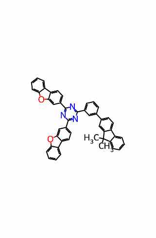 CC1(C)c2ccccc2-c2ccc(-c3cccc(-c4nc(-c5ccc6c(c5)oc5ccccc56)nc(-c5ccc6c(c5)oc5ccccc56)n4)c3)cc21